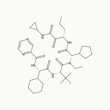 CCC[C@H](NC(=O)[C@H](C1CCCC1)N(CC)C(=O)[C@@H](NC(=O)[C@@H](NC(=O)c1cnccn1)C1CCCCC1)C(C)(C)C)C(=O)C(=O)NC1CC1